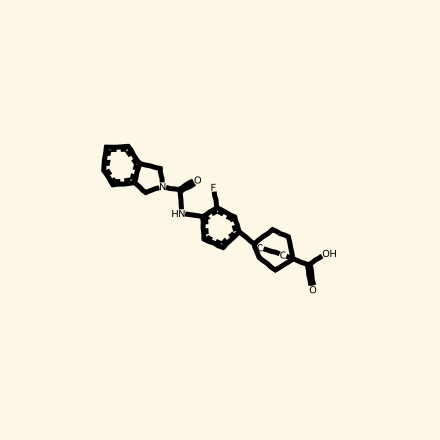 O=C(Nc1ccc(C23CCC(C(=O)O)(CC2)CC3)cc1F)N1Cc2ccccc2C1